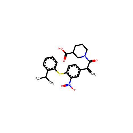 C=C(C(=O)N1CCCC(C(=O)O)C1)c1ccc(Sc2ccccc2C(C)C)c([N+](=O)[O-])c1